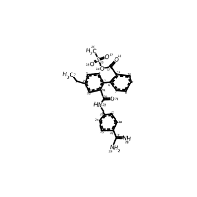 CCc1ccc(-c2ccccc2C(=O)OS(C)(=O)=O)c(C(=O)Nc2ccc(C(=N)N)cc2)c1